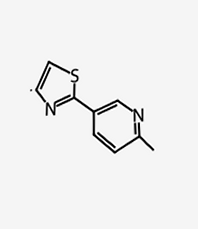 Cc1ccc(-c2n[c]cs2)cn1